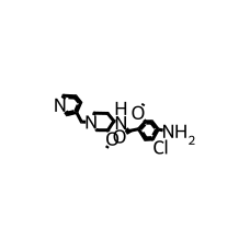 COc1cc(N)c(Cl)cc1C(=O)NC1CCN(Cc2cccnc2)CC1OC